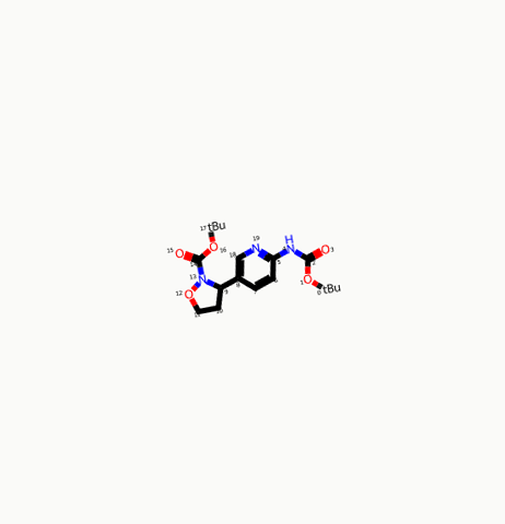 CC(C)(C)OC(=O)Nc1ccc(C2CCON2C(=O)OC(C)(C)C)cn1